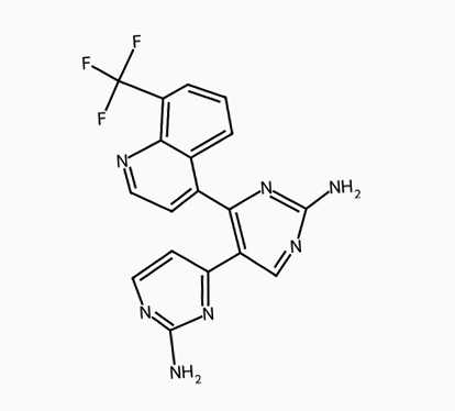 Nc1nccc(-c2cnc(N)nc2-c2ccnc3c(C(F)(F)F)cccc23)n1